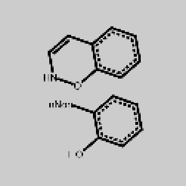 C1=Cc2ccccc2ON1.CCCCCCCCCc1ccccc1O